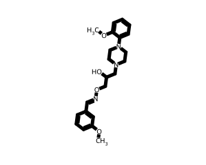 COc1cccc(/C=N/OCC(O)CN2CCN(c3ccccc3OC)CC2)c1